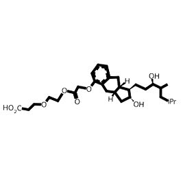 CC(C)CC(C)[C@H](O)CC[C@@H]1[C@H]2Cc3cccc(OCC(=O)OCCOCCC(=O)O)c3C[C@H]2C[C@H]1O